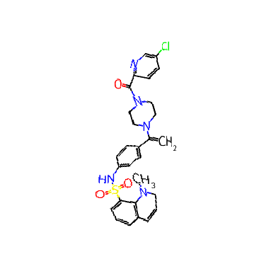 C=C(c1ccc(NS(=O)(=O)c2cccc3c2N(C)CC=C3)cc1)N1CCN(C(=O)c2ccc(Cl)cn2)CC1